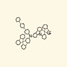 c1ccc(-c2ccc(-c3ccc(N(c4ccc5c(c4)C4(c6ccccc6-c6ccccc64)c4ccccc4-5)c4ccc5c(c4)c4cccc6c4n5-c4ccccc4C64c5ccccc5-c5ccccc54)cc3)cc2)cc1